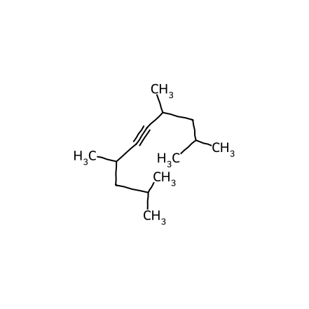 CC(C)CC(C)C#CC(C)CC(C)C